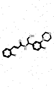 O=C(C=Cc1ccccc1F)NC(CO)c1ccc(F)c(N2CCOCC2)c1